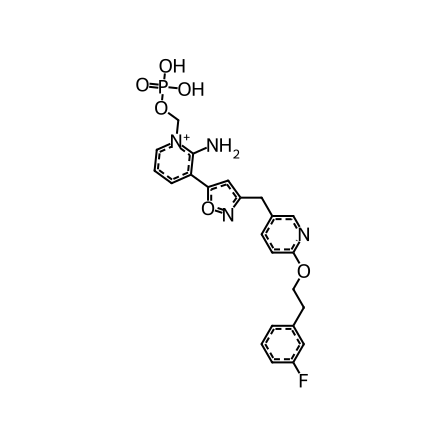 Nc1c(-c2cc(Cc3ccc(OCCc4cccc(F)c4)nc3)no2)ccc[n+]1COP(=O)(O)O